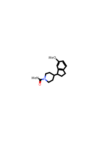 CNC(=O)N1CCC(C2CCc3ccc(OC)cc32)CC1